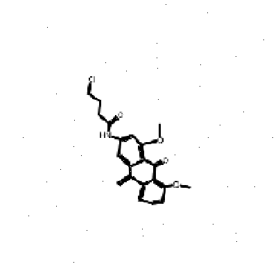 C=C1c2cccc(OC)c2C(=O)c2c(OC)cc(NC(=O)CCCCl)cc21